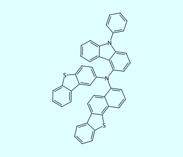 c1ccc(-n2c3ccccc3c3c(N(c4ccc5sc6ccccc6c5c4)c4cccc5c4ccc4c6ccccc6sc54)cccc32)cc1